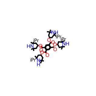 CC(C)C1(C)CC(OC(=O)c2cc(C(=O)OC3CC(C)(C)NC(C)(C(C)C)C3)c(C(=O)OC3CC(C)(C)NC(C)(C(C)C)C3)cc2C(=O)OC2CC(C)(C)NC(C)(C(C)C)C2)CC(C)(C)N1